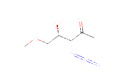 COC[C@@H](O)[C@@H](N=[N+]=[N-])C(C)=O